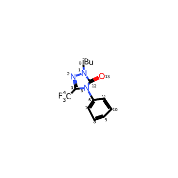 CCC(C)n1nc(C(F)(F)F)n(-c2ccccc2)c1=O